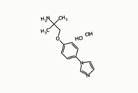 CC(C)(N)COc1ccc(-n2ccnc2)cc1.Cl.Cl